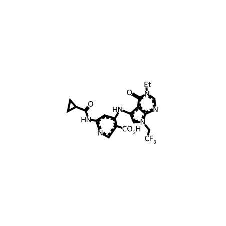 CCn1cnc2c(c(Nc3cc(NC(=O)C4CC4)ncc3C(=O)O)cn2CC(F)(F)F)c1=O